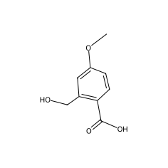 COc1ccc(C(=O)O)c(CO)c1